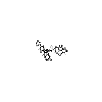 O=C(CNc1c(C2C=CC(N3CCCC3)=CC2)nc2cnccn12)N1CCN(c2c(Cl)cncc2Cl)CC1